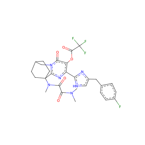 CN(C)C(=O)C(=O)N(C)C12CCC(CC1)Cn1c2nc(-c2nc(Cc3ccc(F)cc3)c[nH]2)c(OC(=O)C(F)(F)F)c1=O